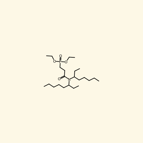 CCCCCC(CC)N(C(=O)CCP(=O)(OCC)OCC)C(CC)CCCCC